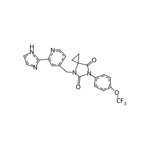 O=C1N(c2ccc(OC(F)(F)F)cc2)C(=O)C2(CC2)N1Cc1ccnc(-c2ncc[nH]2)c1